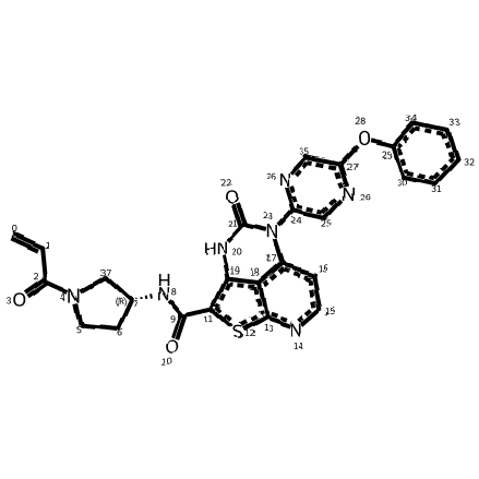 C=CC(=O)N1CC[C@@H](NC(=O)c2sc3nccc4c3c2NC(=O)N4c2cnc(Oc3ccccc3)cn2)C1